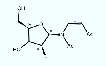 CC(=O)/C=C\N(C(C)=O)[C@@H]1O[C@H](CO)C(O)[C@@H]1F